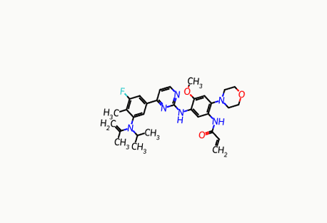 C=CC(=O)Nc1cc(Nc2nccc(-c3cc(F)c(C)c(N(C(=C)C)C(C)C)c3)n2)c(OC)cc1N1CCOCC1